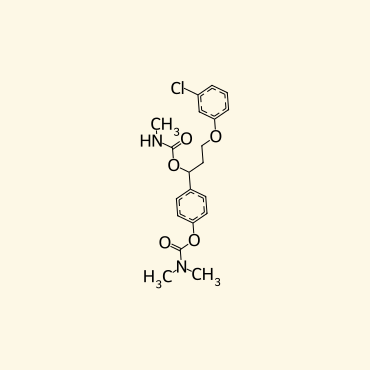 CNC(=O)OC(CCOc1cccc(Cl)c1)c1ccc(OC(=O)N(C)C)cc1